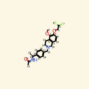 COc1c(OCC(F)F)ccc2c1CCN(Cc1ccc([C@H](C)NC(C)=O)cc1)C2